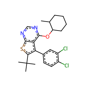 CC1CCCCC1Oc1ncnc2sc(C(C)(C)C)c(-c3ccc(Cl)c(Cl)c3)c12